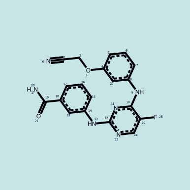 N#CCOc1cccc(Nc2nc(Nc3cccc(C(N)=O)c3)ncc2F)c1